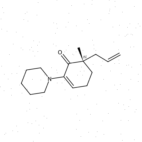 C=CC[C@]1(C)CCC=C(N2CCCCC2)C1=O